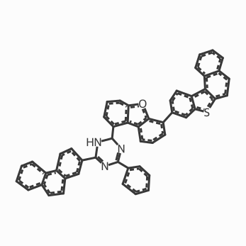 c1ccc(C2=NC(c3cccc4oc5c(-c6ccc7c(c6)sc6ccc8ccccc8c67)cccc5c34)NC(c3ccc4c(ccc5ccccc54)c3)=N2)cc1